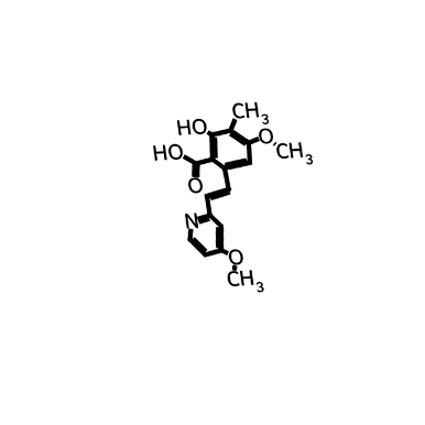 COc1ccnc(C=Cc2cc(OC)c(C)c(O)c2C(=O)O)c1